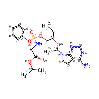 CCC(COP(=O)(NCC(=O)OC(C)C)Oc1ccccc1)OC(C)n1ccc2c(N)ncnc21